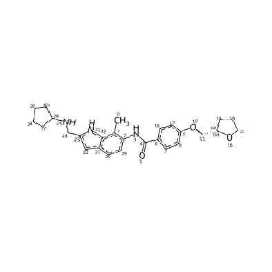 Cc1c(NC(=O)c2ccc(OC[C@@H]3CCCO3)cc2)ccc2cc(CNC3CCCC3)[nH]c12